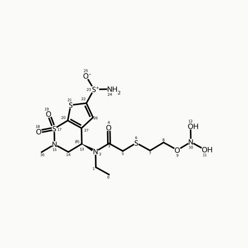 CCN(C(=O)CSCCON(O)O)[C@H]1CN(C)S(=O)(=O)c2sc([S+](N)[O-])cc21